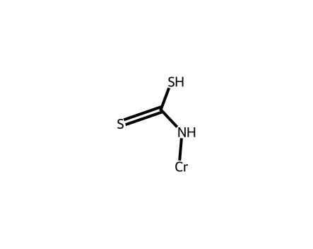 S=C(S)[NH][Cr]